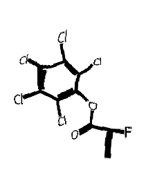 C=C(F)C(=O)Oc1c(Cl)c(Cl)c(Cl)c(Cl)c1Cl